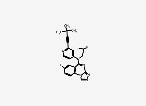 CC(C)(C)C#Cc1cc(N(CC(F)F)c2nc3nncn3c3ccc(F)cc23)ccn1